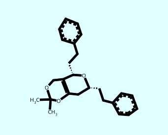 CC1(C)OCC2=C(C[C@@H](CCc3ccccc3)O[C@H]2CCc2ccccc2)O1